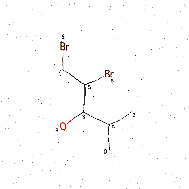 CC(C)C([O])C(Br)CBr